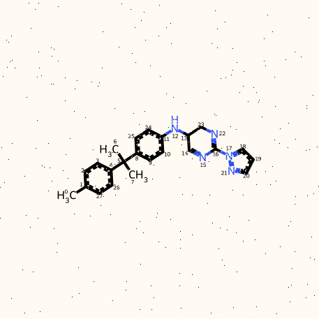 Cc1ccc(C(C)(C)c2ccc(NC3C=NC(n4cccn4)=NC3)cc2)cc1